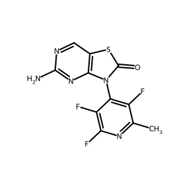 Cc1nc(F)c(F)c(-n2c(=O)sc3cnc(N)nc32)c1F